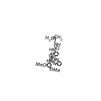 COc1cc(Nc2nc3ccccc3nc2N(c2cccc(NC(=O)CNCCN(C)C)c2)[SH](=O)=O)cc(OC)c1